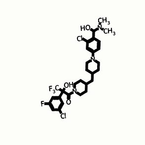 CN(C)C(O)c1ccc(N2CCC(CC3CCN(C(=O)C(O)(c4cc(F)cc(Cl)c4)C(F)(F)F)CC3)CC2)cc1Cl